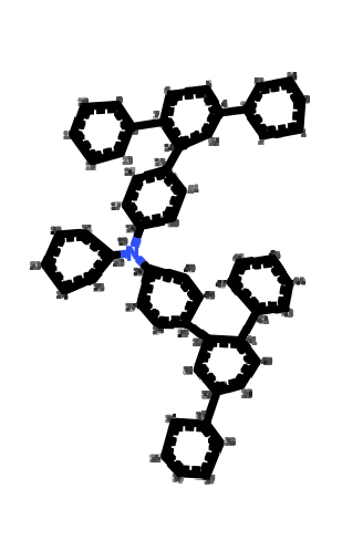 c1ccc(-c2ccc(-c3ccccc3)c(-c3ccc(N(c4ccccc4)c4ccc(-c5cc(-c6ccccc6)ccc5-c5ccccc5)cc4)cc3)c2)cc1